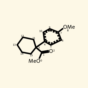 COC(=O)C1(c2ccc(OC)cc2)CCCCC1